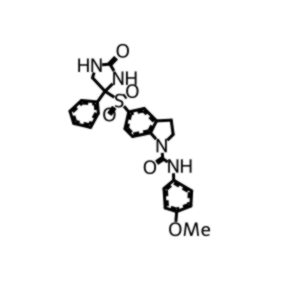 COc1ccc(NC(=O)N2CCc3cc(S(=O)(=O)C4(c5ccccc5)CNC(=O)N4)ccc32)cc1